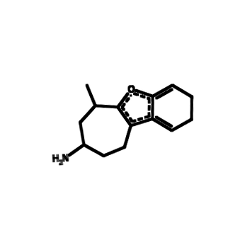 CC1CC(N)CCc2c1oc1c2=CCCC=1